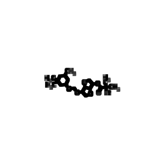 CCC(C)(C)C(=O)OC1COC2C(OCOC3CC(C)CC(C)(C)C3)COC12